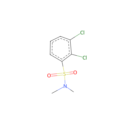 CN(C)S(=O)(=O)c1cccc(Cl)c1Cl